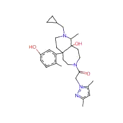 Cc1cc(C)n(CC(=O)N2CCC3(c4cc(O)ccc4C)CCN(CC4CC4)C(C)C3(O)CC2)n1